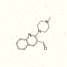 CN1CCN(c2nc3ccccc3cc2C=O)CC1